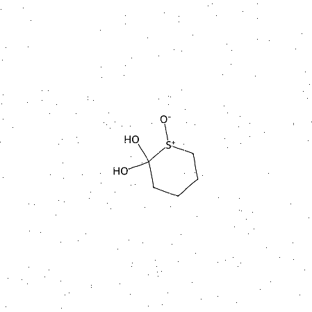 [O-][S+]1CCCCC1(O)O